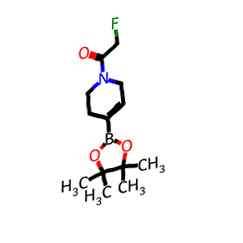 CC1(C)OB(C2=CCN(C(=O)CF)CC2)OC1(C)C